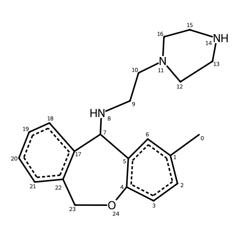 Cc1ccc2c(c1)C(NCCN1CCNCC1)c1ccccc1CO2